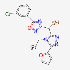 CC(C)Cn1c(-c2ccco2)nnc1C(S)c1noc(-c2cccc(Cl)c2)n1